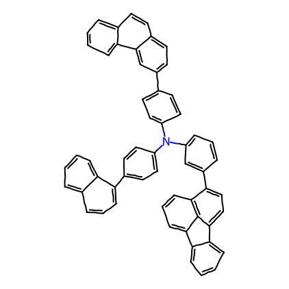 c1cc(-c2ccc3c4c(cccc24)-c2ccccc2-3)cc(N(c2ccc(-c3ccc4ccc5ccccc5c4c3)cc2)c2ccc(-c3cccc4ccccc34)cc2)c1